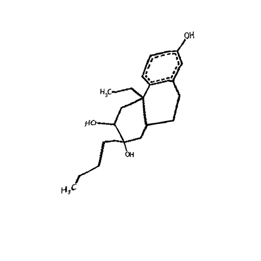 CCCCC1(O)CC2CCc3cc(O)ccc3C2(CC)CC1O